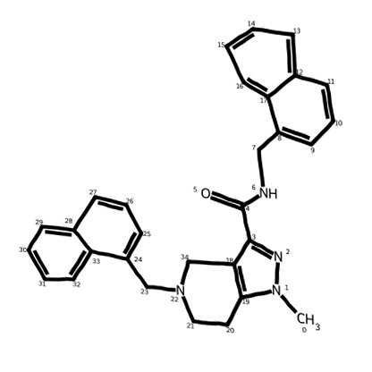 Cn1nc(C(=O)NCc2cccc3ccccc23)c2c1CCN(Cc1cccc3ccccc13)C2